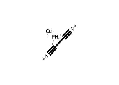 N#CC#N.P.[Cu]